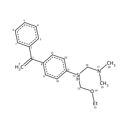 C=C(c1ccccc1)c1ccc([SiH](COCC)CN(C)C)cc1